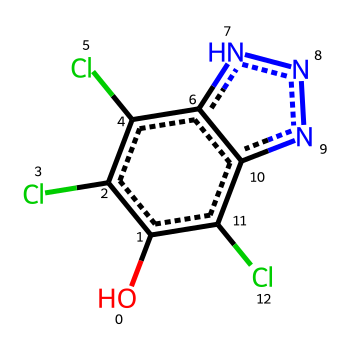 Oc1c(Cl)c(Cl)c2[nH]nnc2c1Cl